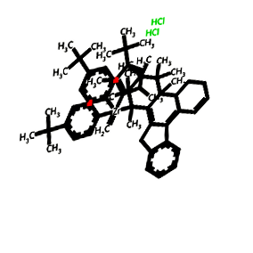 Cl.Cl.[CH2]=[Zr]([C]1=C(C)C(C(C)(C)C)=CC1C)([c]1ccc(C(C)(C)C)cc1)([c]1ccc(C(C)(C)C)cc1)[C]1(C)C2=C3Cc4ccccc4C3=C3C=CCCC3C2(C)C(C)(C)C(C)(C)C1(C)C